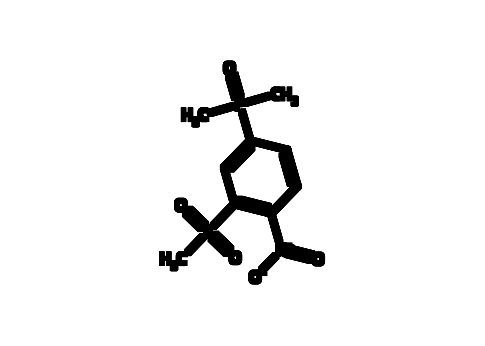 CP(C)(=O)c1ccc([N+](=O)[O-])c(S(C)(=O)=O)c1